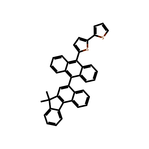 CC1(C)c2ccccc2-c2c1cc(-c1c3ccccc3c(-c3ccc(-c4cccs4)s3)c3ccccc13)c1ccccc21